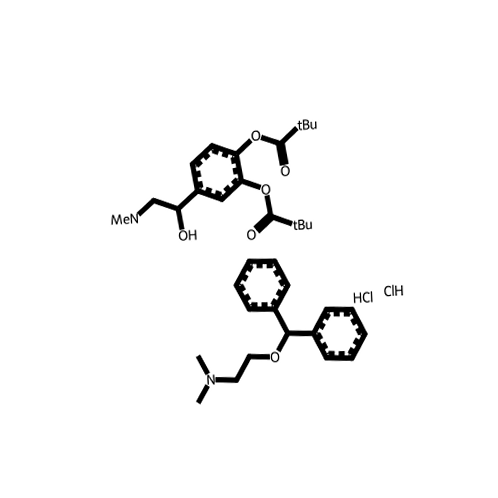 CN(C)CCOC(c1ccccc1)c1ccccc1.CNCC(O)c1ccc(OC(=O)C(C)(C)C)c(OC(=O)C(C)(C)C)c1.Cl.Cl